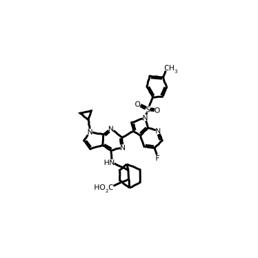 Cc1ccc(S(=O)(=O)n2cc(-c3nc(NC4C5CCC(CC5)C4C(=O)O)c4ccn(C5CC5)c4n3)c3cc(F)cnc32)cc1